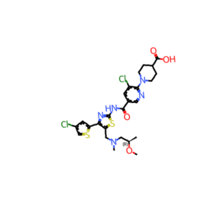 CO[C@H](C)CN(C)Cc1sc(NC(=O)c2cnc(N3CCC(C(=O)O)CC3)c(Cl)c2)nc1-c1cc(Cl)cs1